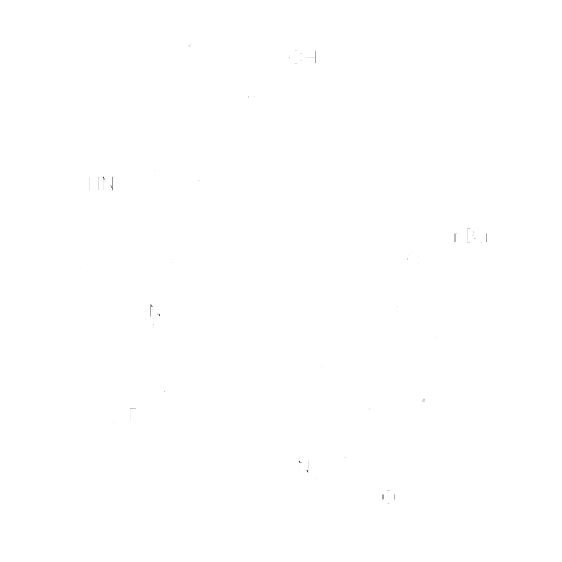 CCCCOc1ccc(C(=O)N(C)c2ccc(N3CCC(NC4CCC(O)CC4)C3)c(F)c2)cc1